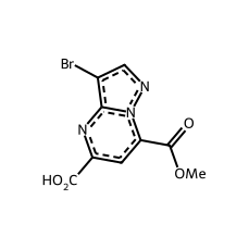 COC(=O)c1cc(C(=O)O)nc2c(Br)cnn12